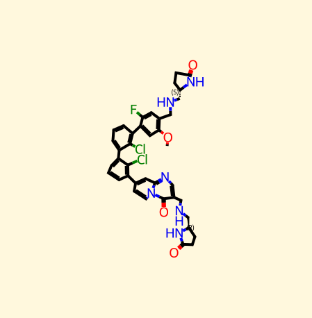 COc1cc(-c2cccc(-c3cccc(-c4ccn5c(=O)c(CNC[C@H]6CCC(=O)N6)cnc5c4)c3Cl)c2Cl)c(F)cc1CNC[C@@H]1CCC(=O)N1